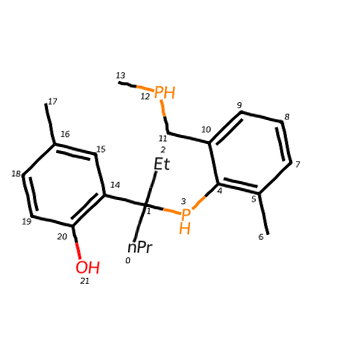 CCCC(CC)(Pc1c(C)cccc1CPC)c1cc(C)ccc1O